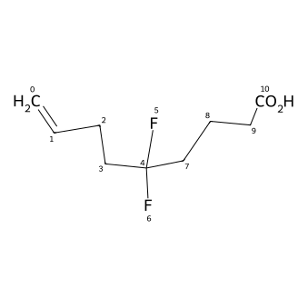 C=CCCC(F)(F)CCCC(=O)O